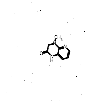 CN1CC(=O)Nc2cccnc21